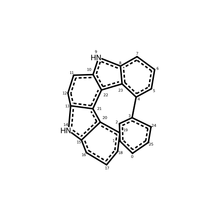 c1ccc(-c2cccc3[nH]c4ccc5[nH]c6ccccc6c5c4c23)cc1